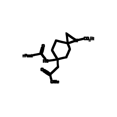 CCCCCC(=O)NC1(CC(=O)OC)CCC2(CC1)CN2C(=O)OCC